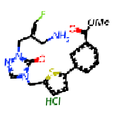 COC(=O)c1cccc(-c2ccc(Cn3cnn(C/C(=C/F)CN)c3=O)s2)c1.Cl